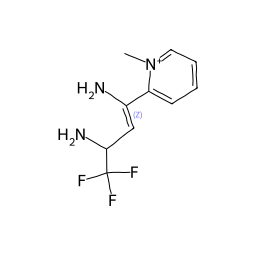 C[n+]1ccccc1/C(N)=C/C(N)C(F)(F)F